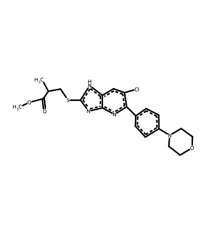 COC(=O)C(C)CSc1nc2nc(-c3ccc(N4CCOCC4)cc3)c(Cl)cc2[nH]1